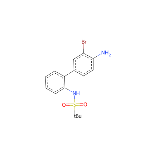 CC(C)(C)S(=O)(=O)Nc1ccccc1-c1ccc(N)c(Br)c1